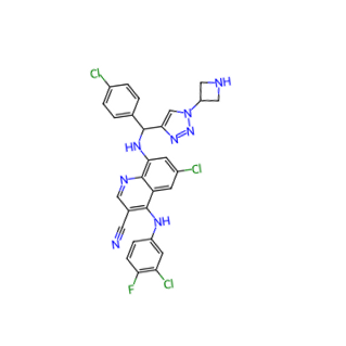 N#Cc1cnc2c(NC(c3ccc(Cl)cc3)c3cn(C4CNC4)nn3)cc(Cl)cc2c1Nc1ccc(F)c(Cl)c1